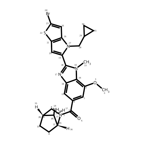 COc1cc(C(=O)N2C[C@H]3CC[C@@H]2[C@@H]3N)cc2nc(-c3cc4sc(Br)cc4n3CC3CC3)n(C)c12